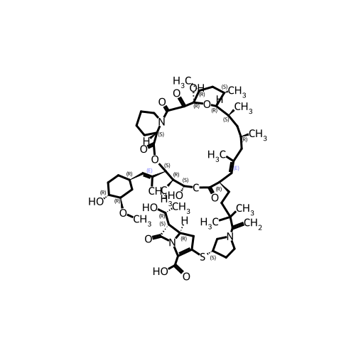 C=C(N1CC[C@H](SC2=C(C(=O)O)N3C(=O)[C@H]([C@@H](C)O)[C@H]3C2)C1)C(C)(C)CC[C@@H]1/C=C(\C)C[C@H](C)C[C@H](C)[C@H]2O[C@@](O)(C(=O)C(=O)N3CCCC[C@H]3C(=O)O[C@H](/C(C)=C/[C@@H]3CC[C@@H](O)[C@H](OC)C3)[C@H](C)[C@@H](O)CC1=O)[C@H](C)C[C@@H]2C